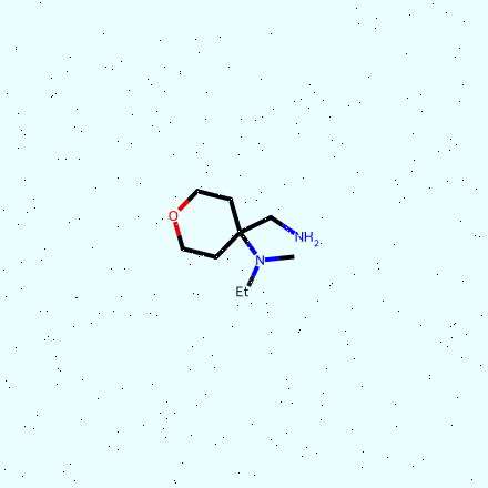 CCN(C)C1(CN)CCOCC1